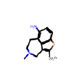 CCOC(=O)c1sc2ccc(N)c3c2c1CN(C)CC3